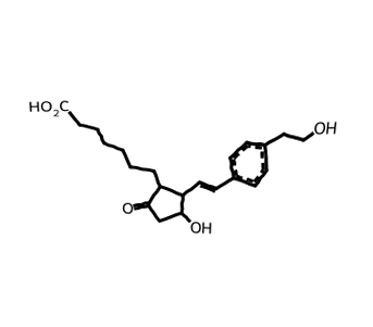 O=C(O)CCCCCCC1C(=O)CC(O)C1C=Cc1ccc(CCO)cc1